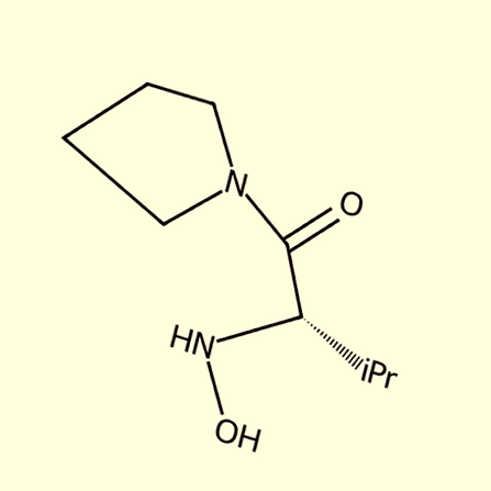 CC(C)[C@H](NO)C(=O)N1CCCC1